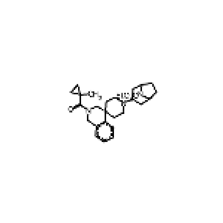 CCOC(=O)N1C2CCC1CC(N1CCC3(CC1)CN(C(=O)C1(C)CC1)Cc1ccccc13)C2